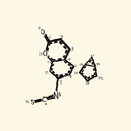 O=c1ccc2ccc(N=C=S)cc2o1.c1cc2cc-2c1